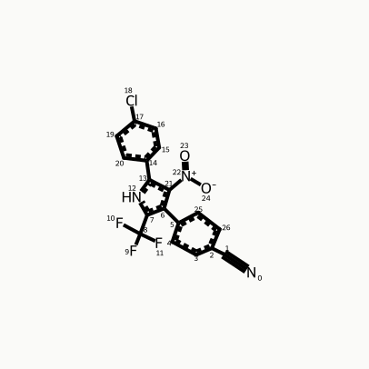 N#Cc1ccc(-c2c(C(F)(F)F)[nH]c(-c3ccc(Cl)cc3)c2[N+](=O)[O-])cc1